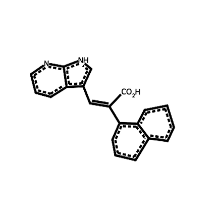 O=C(O)/C(=C\c1c[nH]c2ncccc12)c1cccc2ccccc12